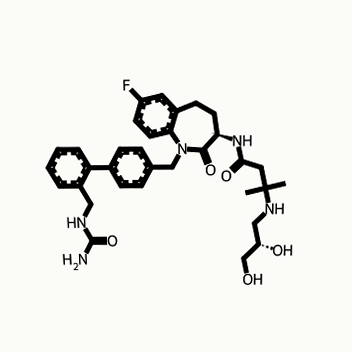 CC(C)(CC(=O)N[C@@H]1CCc2cc(F)ccc2N(Cc2ccc(-c3ccccc3CNC(N)=O)cc2)C1=O)NC[C@H](O)CO